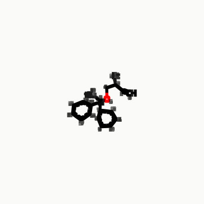 C#C[C@H](CC)CO[Si](c1ccccc1)(c1ccccc1)C(C)(C)C